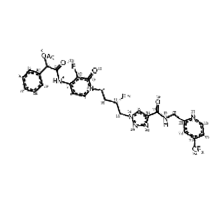 CC(=O)OC(C(=O)Nc1ccn(CC[C@H](F)Cn2cc(C(=O)NCc3cc(C(F)(F)F)ccn3)nn2)c(=O)c1F)c1ccccc1